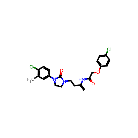 C=C(CCN1CCN(c2ccc(Cl)c(C(F)(F)F)c2)C1=O)NC(=O)COc1ccc(Cl)cc1